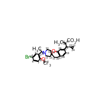 CC(c1cc(Br)ccc1OC(F)(F)F)N1CCC2(CCc3ccc([C@H](C4CC4)[C@H](C)C(=O)O)cc3O2)CC1